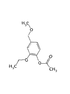 CCOc1cc(COC)ccc1OC(C)=O